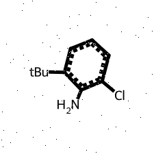 CC(C)(C)c1cccc(Cl)c1N